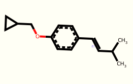 CC(C)/C=C/c1ccc(OCC2CC2)cc1